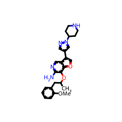 COc1ccccc1CC(C)Oc1c(N)ncc2c(-c3cnn(C4CCNCC4)c3)coc12